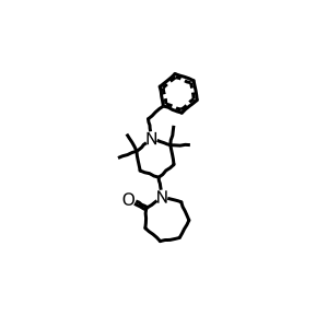 CC1(C)CC(N2CCCCCC2=O)CC(C)(C)N1Cc1ccccc1